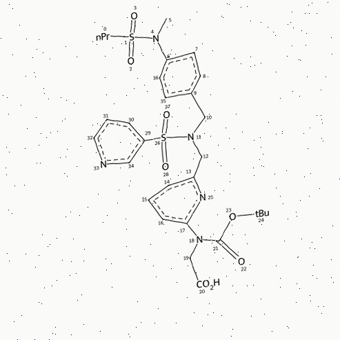 CCCS(=O)(=O)N(C)c1ccc(CN(Cc2cccc(N(CC(=O)O)C(=O)OC(C)(C)C)n2)S(=O)(=O)c2cccnc2)cc1